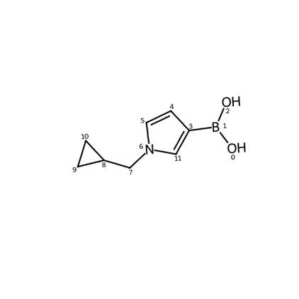 OB(O)c1ccn(CC2CC2)c1